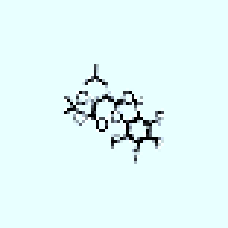 CC(C)C[C@H](C(=O)Oc1c(F)c(F)c(F)c(F)c1F)[C@H]1OC(C)(C)OC1=O